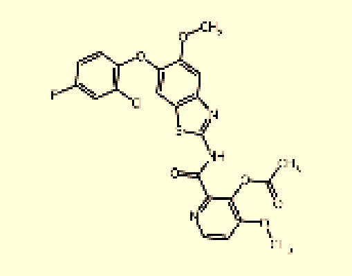 COc1cc2nc(NC(=O)c3nccc(OC)c3OC(C)=O)sc2cc1Oc1ccc(F)cc1Cl